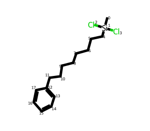 C[Si](Cl)(Cl)CCCCCCCCc1ccccc1